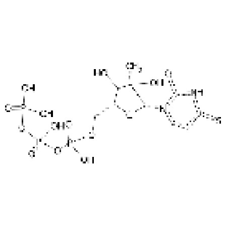 C[C@@]1(O)C(O)[C@@H](COP(=O)(O)OP(=O)(O)OP(=O)(O)O)O[C@H]1n1ccc(=S)[nH]c1=O